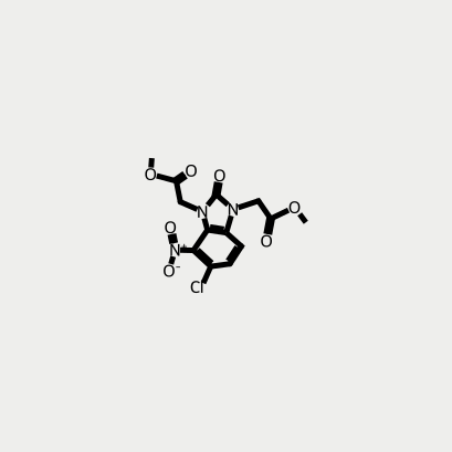 COC(=O)Cn1c(=O)n(CC(=O)OC)c2c([N+](=O)[O-])c(Cl)ccc21